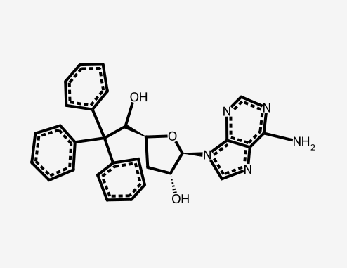 Nc1ncnc2c1ncn2[C@@H]1O[C@H](C(O)C(c2ccccc2)(c2ccccc2)c2ccccc2)C[C@H]1O